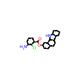 Nc1cccc(C(=O)Oc2ccc3ccc4c5ccccc5[nH]c4c3c2)c1Cl